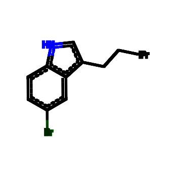 [CH2]C(C)CCc1c[nH]c2ccc(Br)cc12